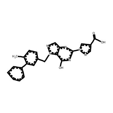 Cc1ccc(Cn2ncc3nc(-n4cc(C(=O)O)cn4)nc(O)c32)cc1-c1ccccc1